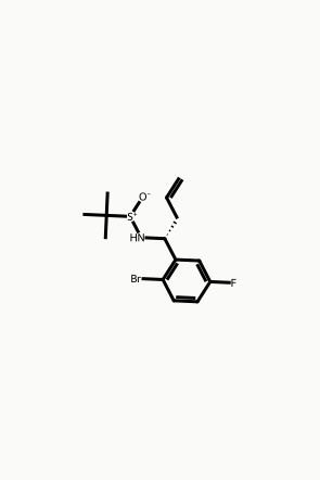 C=CC[C@@H](N[S+]([O-])C(C)(C)C)c1cc(F)ccc1Br